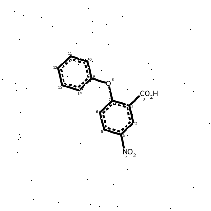 O=C(O)c1cc([N+](=O)[O-])ccc1Oc1ccccc1